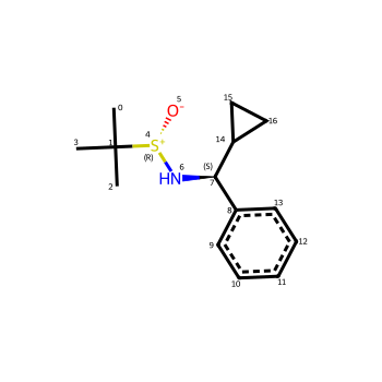 CC(C)(C)[S@+]([O-])N[C@H](c1ccccc1)C1CC1